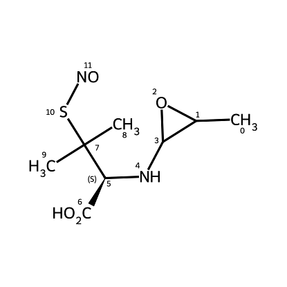 CC1OC1N[C@@H](C(=O)O)C(C)(C)SN=O